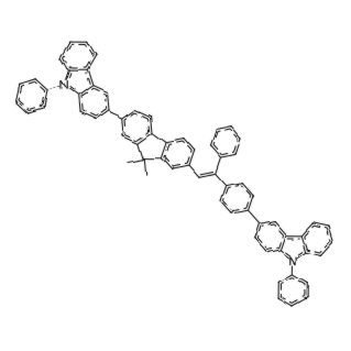 CC1(C)c2cc(/C=C(\c3ccccc3)c3ccc(-c4ccc5c(c4)c4ccccc4n5-c4ccccc4)cc3)ccc2-c2ccc(-c3ccc4c(c3)c3ccccc3n4-c3ccccc3)cc21